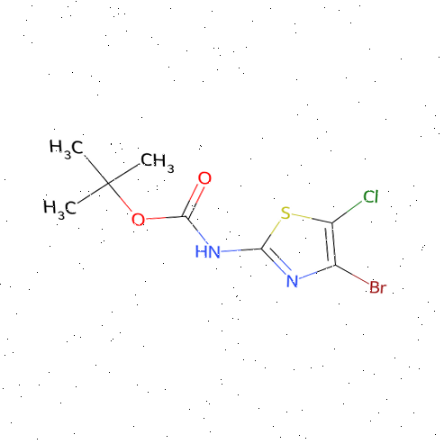 CC(C)(C)OC(=O)Nc1nc(Br)c(Cl)s1